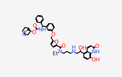 CCN(CCCNCC(O)c1ccc(O)c2[nH]c(=O)ccc12)C(=O)c1ccc(COc2cccc([C@@H](NC(=O)OC3CN4CCC3CC4)c3ccccc3)c2)o1